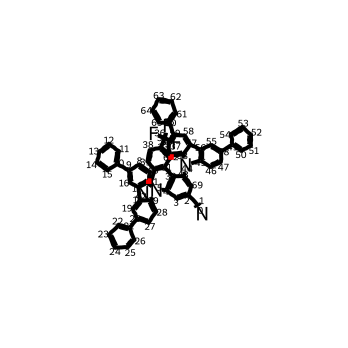 N#Cc1cc(-n2c3ccc(-c4ccccc4)cc3c3cc(-c4ccccc4)ccc32)c(-c2cc(C(F)(F)F)ccc2C#N)c(-n2c3ccc(-c4ccccc4)cc3c3cc(-c4ccccc4)ccc32)c1